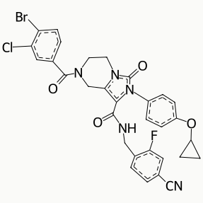 N#Cc1ccc(CNC(=O)c2c3n(c(=O)n2-c2ccc(OC4CC4)cc2)CCN(C(=O)c2ccc(Br)c(Cl)c2)C3)c(F)c1